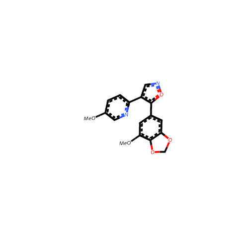 COc1ccc(-c2cnoc2-c2cc(OC)c3c(c2)OCO3)nc1